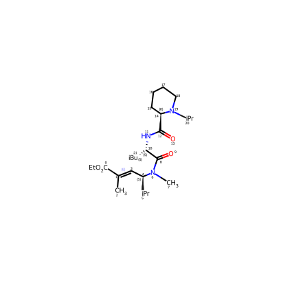 CCOC(=O)/C(C)=C/[C@H](C(C)C)N(C)C(=O)[C@@H](NC(=O)[C@H]1CCCCN1C(C)C)[C@@H](C)CC